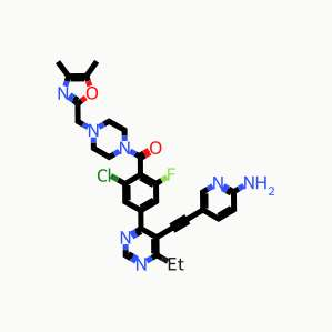 CCc1ncnc(-c2cc(F)c(C(=O)N3CCN(Cc4nc(C)c(C)o4)CC3)c(Cl)c2)c1C#Cc1ccc(N)nc1